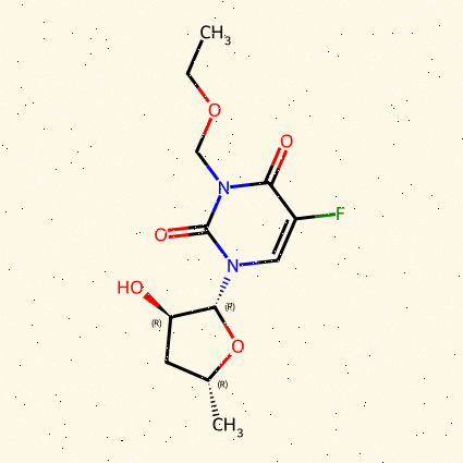 CCOCn1c(=O)c(F)cn([C@@H]2O[C@H](C)C[C@H]2O)c1=O